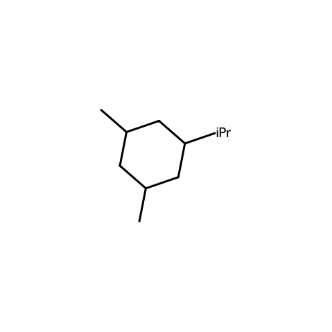 CC1CC(C)CC(C(C)C)C1